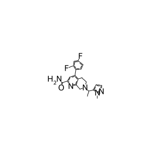 CC(c1ccnn1C)N1CCc2c(-c3ccc(F)cc3F)cc(C(N)=O)nc2C1